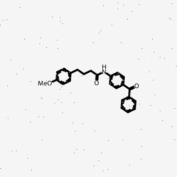 COc1ccc(CCCC(=O)Nc2ccc(C(=O)c3ccccc3)cc2)cc1